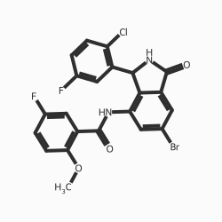 COc1ccc(F)cc1C(=O)Nc1cc(Br)cc2c1C(c1cc(F)ccc1Cl)NC2=O